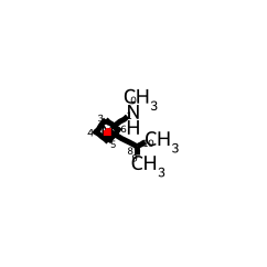 CNN1C2CC(C2)C1C(C)C